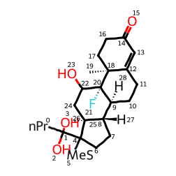 CCCC(O)(O)C1(SC)CC[C@H]2[C@@H]3CCC4=CC(=O)CC[C@]4(C)[C@]3(F)C(O)C[C@@]21C